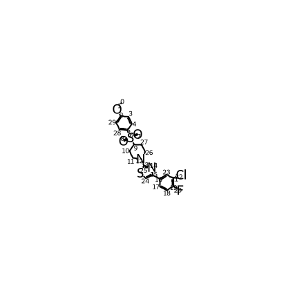 COc1ccc(S(=O)(=O)C2CCN(c3nc(-c4ccc(F)c(Cl)c4)cs3)CC2)cc1